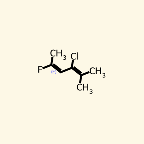 CC(C)=C(Cl)/C=C(\C)F